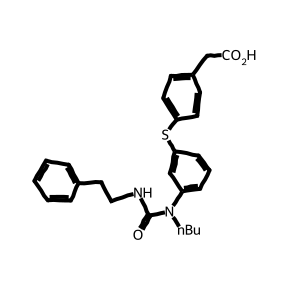 CCCCN(C(=O)NCCc1ccccc1)c1cccc(Sc2ccc(CC(=O)O)cc2)c1